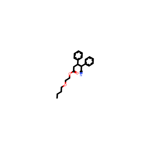 CCCCOCCOC(=O)CC(c1ccccc1)C(C#N)c1ccccc1